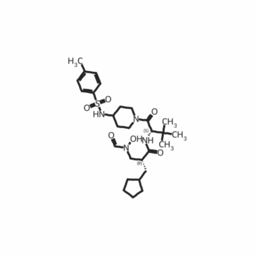 Cc1ccc(S(=O)(=O)NC2CCN(C(=O)[C@@H](NC(=O)[C@H](CC3CCCC3)CN(O)C=O)C(C)(C)C)CC2)cc1